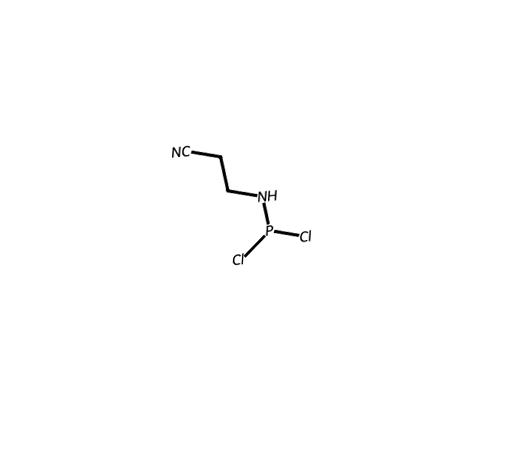 N#CCCNP(Cl)Cl